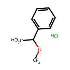 Cl.O=C(O)C(OC(F)(F)F)c1ccccc1